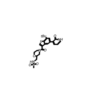 CC(C)(C)c1cc(-c2ccc[nH]c2=O)cc2c(C(=O)N3CCOC(CNS(C)(=O)=O)C3)csc12